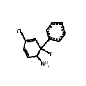 NC1C=CC(Cl)=CC1(F)c1ccccc1